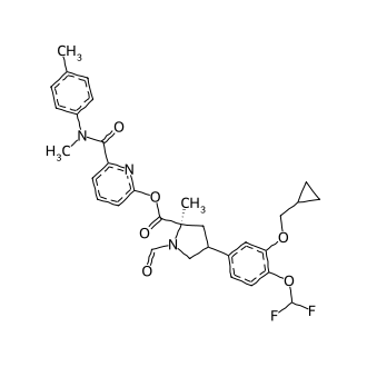 Cc1ccc(N(C)C(=O)c2cccc(OC(=O)[C@@]3(C)CC(c4ccc(OC(F)F)c(OCC5CC5)c4)CN3C=O)n2)cc1